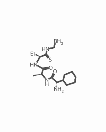 BCNC(=S)[C@H](CC)NC(=O)[C@H](C)NC(=O)[C@@H](N)C1CCCCC1